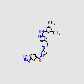 Cc1cc(C)cc(Nc2ncc3c(n2)CCN(C2CCN(C(=O)c4ccc5[nH]nnc5c4)C2)C3)c1